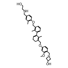 COc1cc(OCC2=C(C)C(c3cccc(COc4ccc(CNCCO)cc4C)c3C)=CCC2)ccc1CN1CC(O)C1